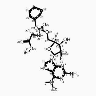 CCN(C)c1nc(N)nc2c1ncn2[C@@H]1O[C@](F)(CO[P@](=O)(N[C@@H](C)C(=O)OC(C)C)Oc2ccccc2)[C@@H](O)[C@@]1(C)F